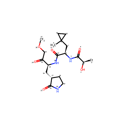 CC[C@@H](O)C(=O)N[C@H](CC1(C)CC1)C(=O)N[C@@H](C[C@@H]1CCNC1=O)C(=O)COC(F)(F)F